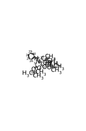 CC(C)(C)OC(=O)CN(CCOP(=O)(OC(C)(C)C)OC(C)(C)C)Cc1ccccc1